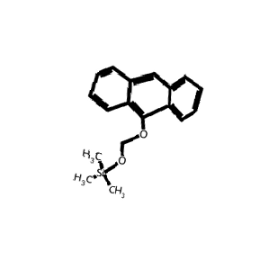 C[Si](C)(C)OCOc1c2ccccc2cc2ccccc12